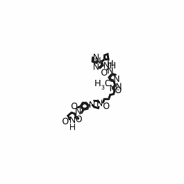 Cc1cc(NC(=O)Nc2cnc3ccnn3c2C2CCC2)cnc1-c1noc(CCCCC(=O)N2CCN(c3ccc4c(c3)CN(C3CCC(=O)NC3=O)C4=O)CC2)n1